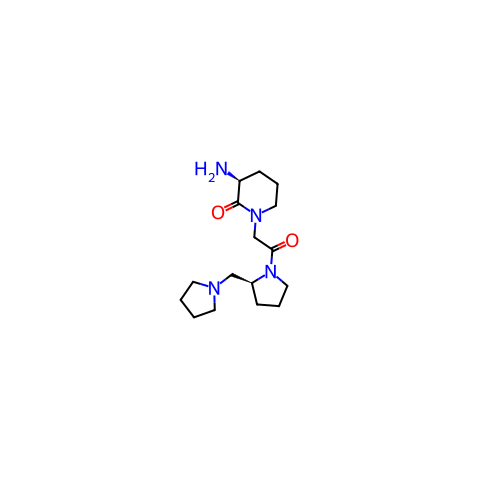 N[C@H]1CCCN(CC(=O)N2CCC[C@H]2CN2CCCC2)C1=O